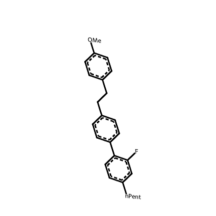 CCCCCc1ccc(-c2ccc(CCc3ccc(OC)cc3)cc2)c(F)c1